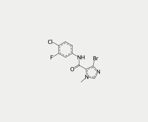 Cn1cnc(Br)c1C(=O)Nc1ccc(Cl)c(F)c1